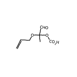 C=CCOC(C)(C=O)OC(=O)O